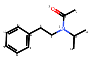 CC(=O)N(CCc1ccccc1)C(C)C